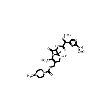 CON=C(C(=O)NC1C(=O)N2C(C(=O)O)=C(COC(=O)N3CCN(C)CC3)C[S+]([O-])[C@@H]12)c1csc(NC=O)n1